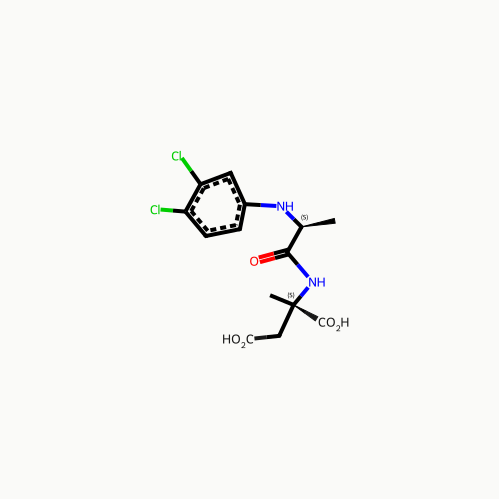 C[C@H](Nc1ccc(Cl)c(Cl)c1)C(=O)N[C@@](C)(CC(=O)O)C(=O)O